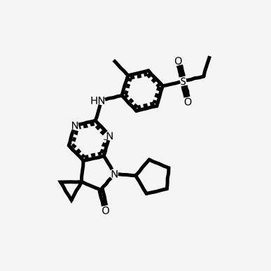 CCS(=O)(=O)c1ccc(Nc2ncc3c(n2)N(C2CCCC2)C(=O)C32CC2)c(C)c1